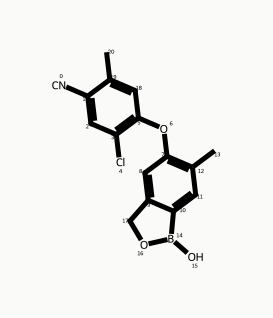 [C-]#[N+]c1cc(Cl)c(Oc2cc3c(cc2C)B(O)OC3)cc1C